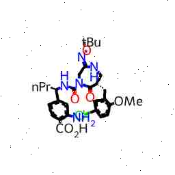 CCC[C@@H](NC(=O)N1C/C(=N/OC(C)(C)C)NC[C@H](Cc2cc(Cl)ccc2OC)C1=O)c1ccc(C(=O)O)c(N)c1